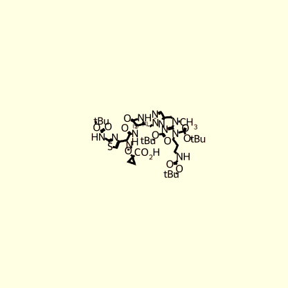 CN(Cc1cnn(C[C@H]2NC(=O)[C@H]2NC(=O)C(=NOC2(C(=O)O)CC2)c2csc(NC(=O)OC(C)(C)C)n2)n1)C(=NC(=O)OC(C)(C)C)N(CCCNC(=O)OC(C)(C)C)C(=O)OC(C)(C)C